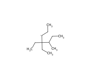 CC[C]C(CC)(CC)C(C)CC